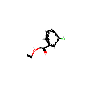 C=COC(=O)c1cccc(Cl)c1